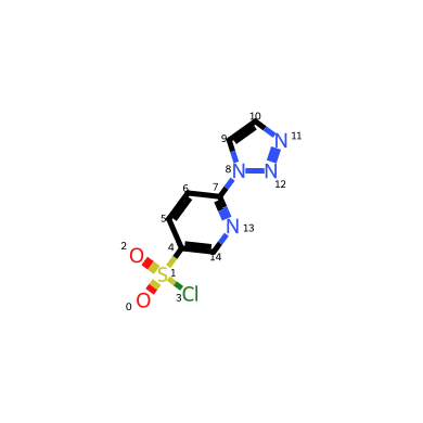 O=S(=O)(Cl)c1ccc(-n2ccnn2)nc1